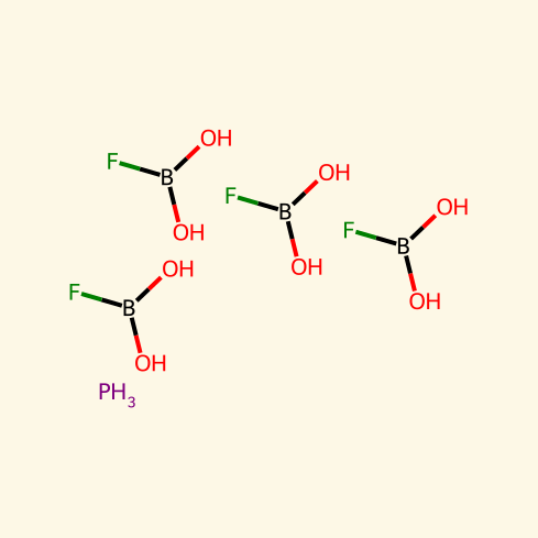 OB(O)F.OB(O)F.OB(O)F.OB(O)F.P